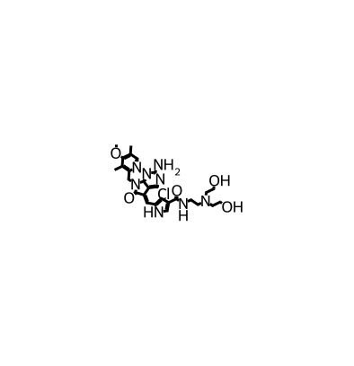 COc1c(C)cnc(CN2C(=O)/C(=C/c3cc(C(=O)NCCN(CCO)CCO)c[nH]3)c3c(Cl)nc(N)nc32)c1C